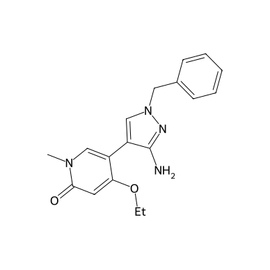 CCOc1cc(=O)n(C)cc1-c1cn(Cc2ccccc2)nc1N